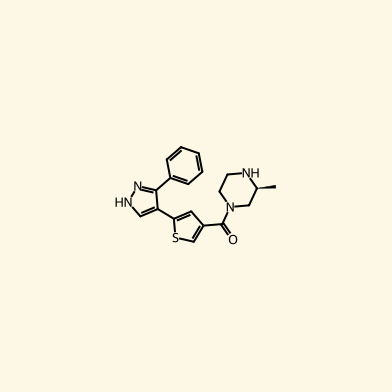 C[C@H]1CN(C(=O)c2csc(-c3c[nH]nc3-c3ccccc3)c2)CCN1